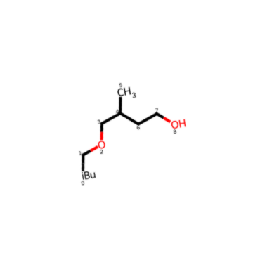 CCC(C)COCC(C)CCO